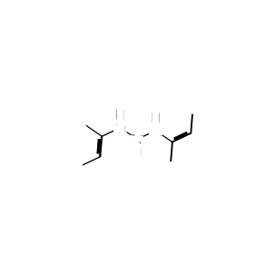 CC=C(C)[SiH2]N[SiH2]C(C)=CC